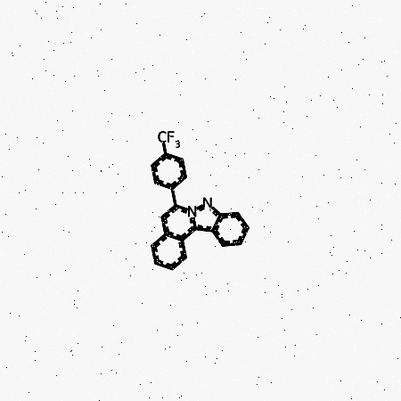 FC(F)(F)c1ccc(-c2cc3ccccc3c3c4ccccc4nn23)cc1